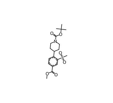 COC(=O)c1ccc(C2CCN(C(=O)OC(C)(C)C)CC2)c(S(C)(=O)=O)c1